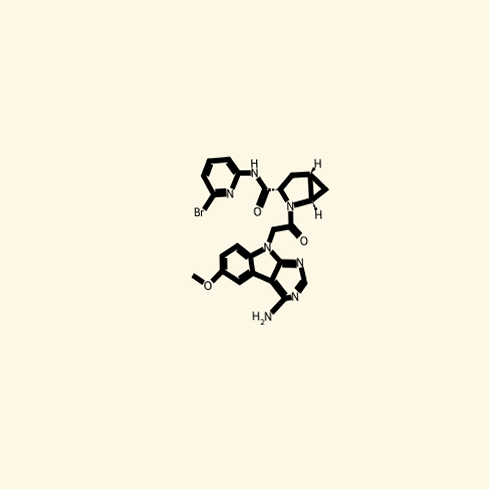 COc1ccc2c(c1)c1c(N)ncnc1n2CC(=O)N1[C@@H]2C[C@@H]2C[C@H]1C(=O)Nc1cccc(Br)n1